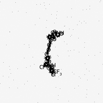 O=C1CCC(N2C(=O)c3cccc(OCCOCCOCCOc4ccc(Oc5ccc(Cl)cc5NS(=O)(=O)c5ccc(Cl)c(C(F)(F)F)c5)cc4)c3C2=O)C(=O)N1